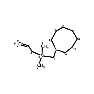 C=CC[Si](C)(C)CN1CCCCCCC1